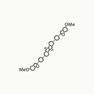 COc1ccc2oc(-c3ccc(-c4ccc5c(c4)sc4c6ccc(-c7ccc(-c8cc9cc(OC)ccc9o8)cc7)cc6sc54)cc3)cc2c1